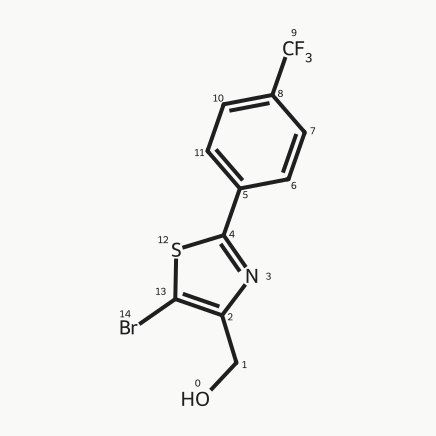 OCc1nc(-c2ccc(C(F)(F)F)cc2)sc1Br